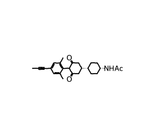 CC#Cc1cc(C)c(C2C(=O)CC([C@H]3CC[C@@H](NC(C)=O)CC3)CC2=O)c(C)c1